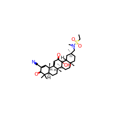 CCS(=O)(=O)N(C)C[C@@]1(C)CC[C@]2(C)CC[C@@]3(C)[C@]4(C)CC[C@H]5C(C)(C)C(=O)C(C#N)=C[C@]5(C)C4=CC(=O)[C@]3(O)[C@@H]2C1